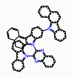 C1=CC2=c3c(n(-c4nc5ccccc5nc4-n4c5ccccc5c5ccccc54)c4cc(-n5c6ccccc6c6ccc7ccccc7c65)ccc34)=CCC2C=C1